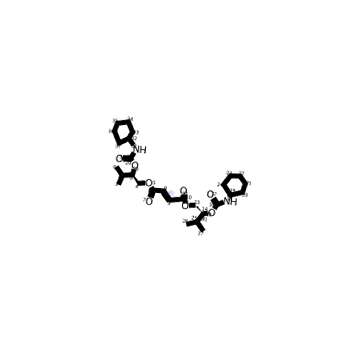 CC(C)[C@H](COC(=O)/C=C/C(=O)OC[C@H](OC(=O)NC1CCCCC1)C(C)C)OC(=O)NC1CCCCC1